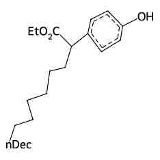 CCCCCCCCCCCCCCCCC(C(=O)OCC)c1ccc(O)cc1